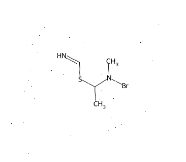 CC(SC=N)N(C)Br